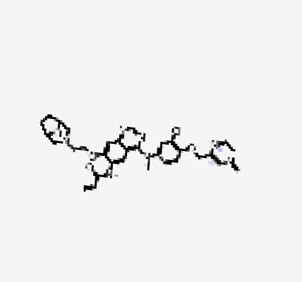 C=CC(=O)Nc1cc2c(Nc3ccc(OCC(=C/N=C)/N=C\C)c(Cl)c3)ncnc2cc1OCCN1CC2CCC(C1)O2